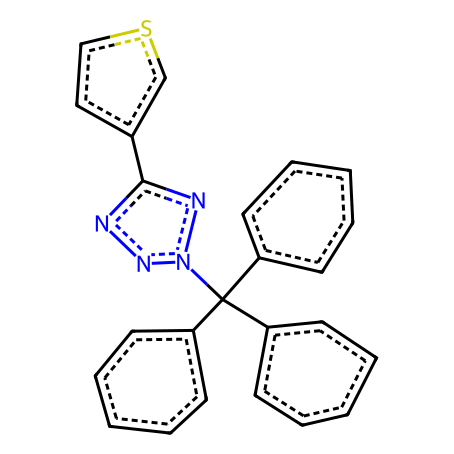 c1ccc(C(c2ccccc2)(c2ccccc2)n2nnc(-c3ccsc3)n2)cc1